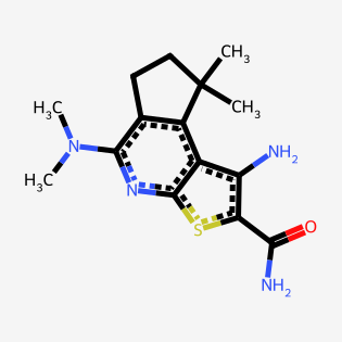 CN(C)c1nc2sc(C(N)=O)c(N)c2c2c1CCC2(C)C